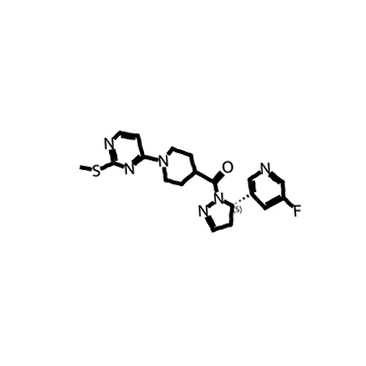 CSc1nccc(N2CCC(C(=O)N3N=CC[C@H]3c3cncc(F)c3)CC2)n1